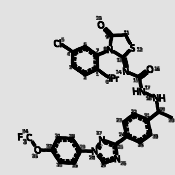 CC(C)c1ccc(Cl)cc1N1C(=O)CS/C1=N\C(=O)NNC(C)c1ccc(-c2ncn(-c3ccc(OC(F)(F)F)cc3)n2)cc1